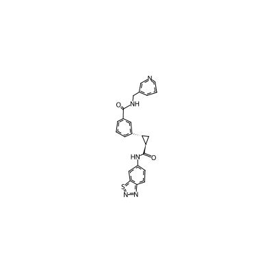 O=C(NCc1cccnc1)c1cccc([C@@H]2C[C@H]2C(=O)Nc2ccc3nnsc3c2)c1